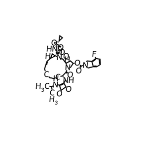 CC(C)Nc1c(N[C@H]2CCCCC/C=C\[C@@H]3C[C@@]3(C(=O)NS(=O)(=O)C3CC3)NC(=O)[C@@H]3C[C@@H](OC(=O)N4Cc5cccc(F)c5C4)CN3C2=O)c(=O)c1=O